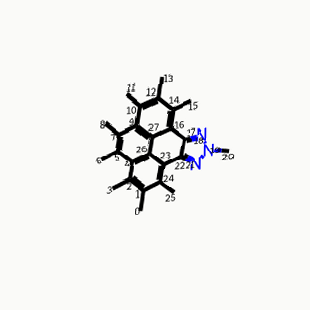 Cc1c(C)c2c(C)c(C)c3c(C)c(C)c(C)c4c5nn(C)nc5c(c1C)c2c34